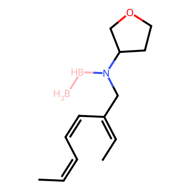 BBN(CC(/C=C\C=C/C)=C/C)C1CCOC1